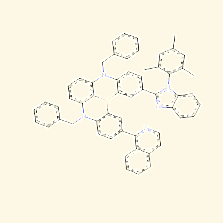 Cc1cc(C)c(-n2c(-c3ccc4c(c3)B3c5cc(-c6nccc7ccccc67)ccc5N(Cc5ccccc5)c5cccc(c53)N4Cc3ccccc3)nc3ccccc32)c(C)c1